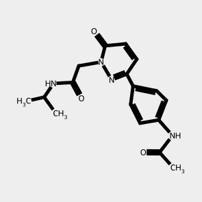 CC(=O)Nc1ccc(-c2ccc(=O)n(CC(=O)NC(C)C)n2)cc1